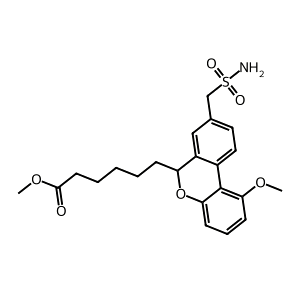 COC(=O)CCCCCC1Oc2cccc(OC)c2-c2ccc(CS(N)(=O)=O)cc21